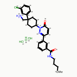 COCCCNC(=O)c1cccc(-c2ccc(=O)n(C3CCC(CN)(c4cccc(Cl)c4)CC3)n2)c1.Cl.Cl.Cl